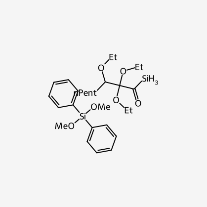 CCCCCC(OCC)C(OCC)(OCC)C(=O)[SiH3].CO[Si](OC)(c1ccccc1)c1ccccc1